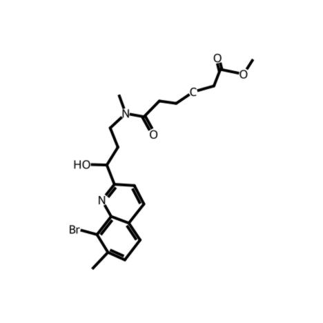 COC(=O)CCCCC(=O)N(C)CCC(O)c1ccc2ccc(C)c(Br)c2n1